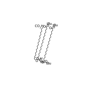 CC(C)(C)OC(=O)CCCCCCCCCCCCCCCCCCC(=O)OC(C)(C)C.CC(C)(C)OC(=O)CCCCCCCCCCCCCCCCCCC(=O)OC(C)(C)C.O=C(O)CCCCCCCCCCCCCCCCCCC(=O)O